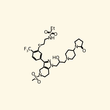 CCS(=O)(=O)NCCSc1cc(-c2nn(CC(O)CN3CCC(N4CCCC4=O)CC3)c3c2CN(S(C)(=O)=O)CC3)ccc1C(F)(F)F